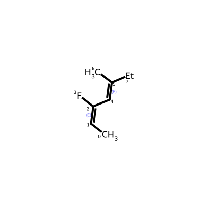 C/C=C(F)\C=C(/C)CC